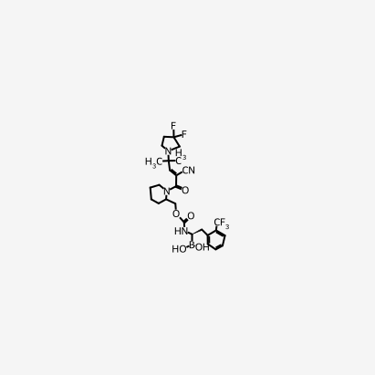 CC(C)(C=C(C#N)C(=O)N1CCCCC1COC(=O)N[C@@H](Cc1ccccc1C(F)(F)F)B(O)O)N1CCC(F)(F)C1